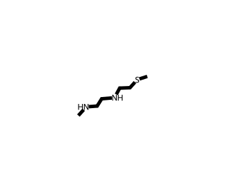 CNCCNCCSC